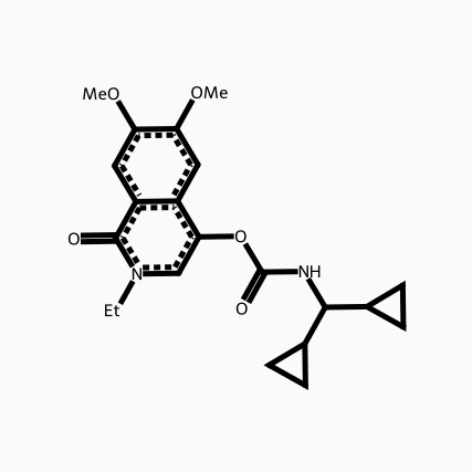 CCn1cc(OC(=O)NC(C2CC2)C2CC2)c2cc(OC)c(OC)cc2c1=O